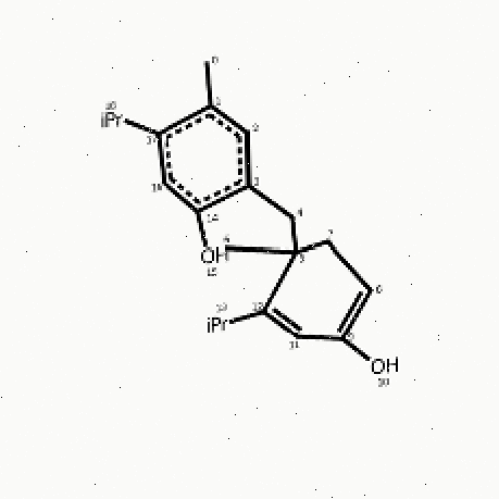 Cc1cc(CC2(C)CC=C(O)C=C2C(C)C)c(O)cc1C(C)C